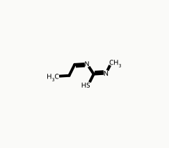 CC/C=N\C(S)=N/C